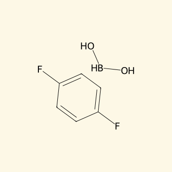 Fc1ccc(F)cc1.OBO